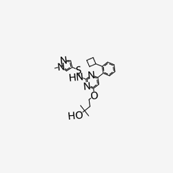 Cn1cc(SNc2nc(OCCC(C)(C)O)cc(-c3ccccc3C3CCC3)n2)cn1